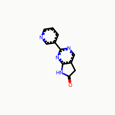 O=C1Cc2cnc(-c3cccnc3)nc2N1